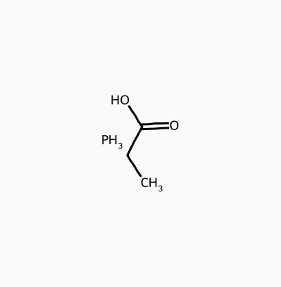 CCC(=O)O.P